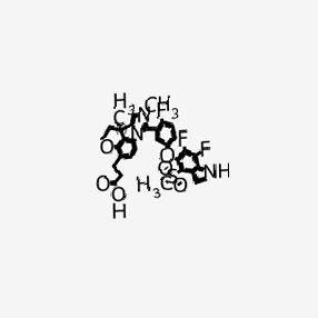 Cn1cc([C@@]2(C)CCOc3c(CCC(=O)O)cccc32)nc1-c1cc(Oc2c(F)c(F)c3[nH]ccc3c2S(C)(=O)=O)ccc1F